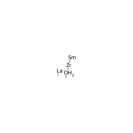 O.[La].[Sm].[Zr]